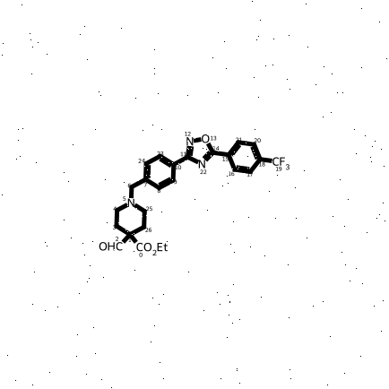 CCOC(=O)C1(C=O)CCN(Cc2ccc(-c3noc(-c4ccc(C(F)(F)F)cc4)n3)cc2)CC1